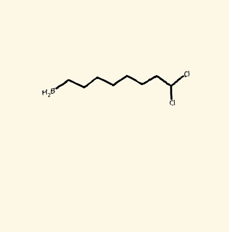 BCCCCCCCC(Cl)Cl